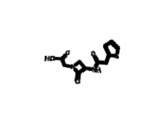 O=C(O)CN1CC(NC(=O)Cc2cccs2)C1=O